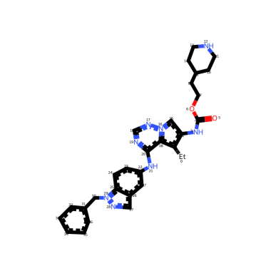 CCc1c(NC(=O)OCCC2CCNCC2)cn2ncnc(Nc3ccc4c(cnn4Cc4ccccc4)c3)c12